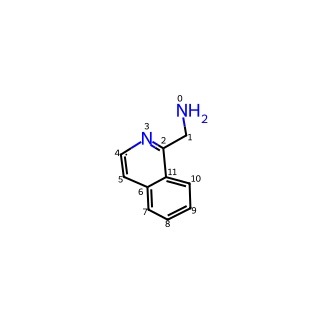 NCc1n[c]cc2ccccc12